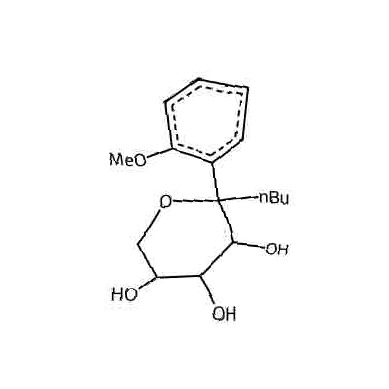 CCCCC1(c2ccccc2OC)OCC(O)C(O)C1O